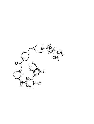 CC(C)(C)OC(=O)N1CCN(CC2CCN(C(=O)CN3CCCC(Nc4ncc(Cl)c(-c5c[nH]c6ccccc56)n4)C3)CC2)CC1